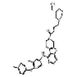 Cc1ccc(Oc2ccc(Nc3ncnc4sc5c(c34)CCN(C(=O)/C=C/CN3CCC[C@@H](CO)C3)C5)cc2C)cn1